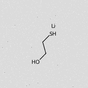 OCCS.[Li]